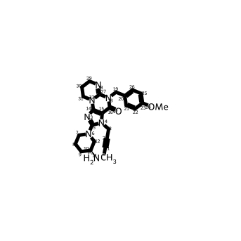 CC#CCn1c(N2CCC[C@@H](N)C2)nc2c1C(=O)N(Cc1ccc(OC)cc1)C1=NCCCN12